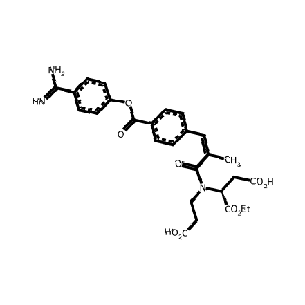 CCOC(=O)[C@H](CC(=O)O)N(CCC(=O)O)C(=O)C(C)=Cc1ccc(C(=O)Oc2ccc(C(=N)N)cc2)cc1